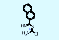 N=C(/N=C(\N)Cl)c1ccc2ccccc2c1